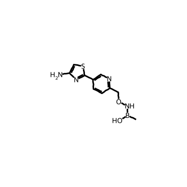 CB(O)NOCc1ccc(-c2nc(N)cs2)cn1